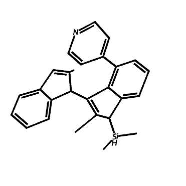 CC1=Cc2ccccc2C1C1=C(C)C([SiH](C)C)c2cccc(-c3ccncc3)c21